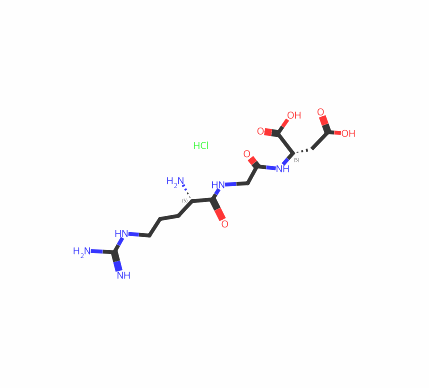 Cl.N=C(N)NCCC[C@H](N)C(=O)NCC(=O)N[C@@H](CC(=O)O)C(=O)O